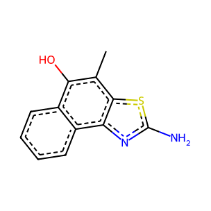 Cc1c(O)c2ccccc2c2nc(N)sc12